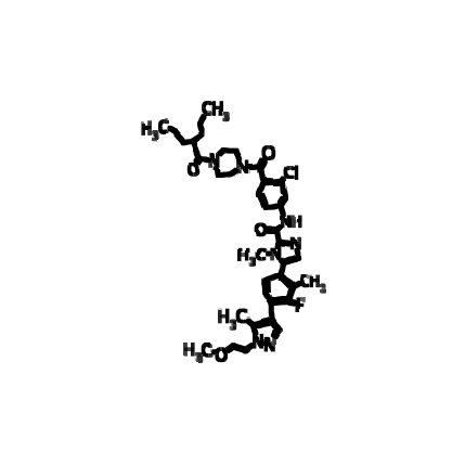 CCCC(CCC)C(=O)N1CCN(C(=O)c2ccc(NC(=O)c3ncc(-c4ccc(-c5cnn(CCOC)c5C)c(F)c4C)n3C)cc2Cl)CC1